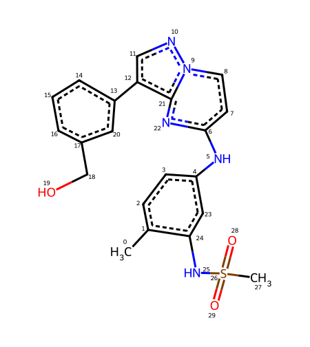 Cc1ccc(Nc2ccn3ncc(-c4cccc(CO)c4)c3n2)cc1NS(C)(=O)=O